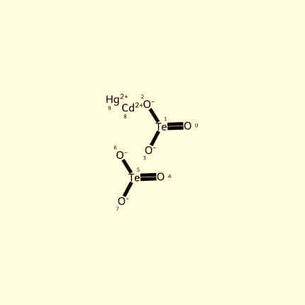 O=[Te]([O-])[O-].O=[Te]([O-])[O-].[Cd+2].[Hg+2]